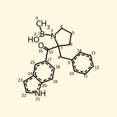 CB(O)N1CCCC1(Cc1ccccc1)C(=O)c1ccc2[nH]ccc2c1